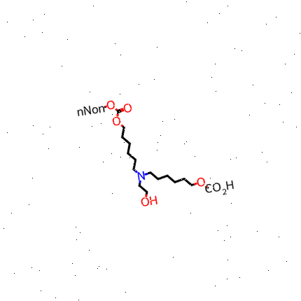 CCCCCCCCCOC(=O)OCCCCCCN(CCO)CCCCCCOC(=O)O